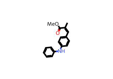 COC(=O)/C(C)=C\c1ccc(Nc2ccccc2)cc1